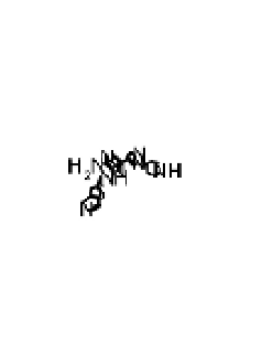 Nc1ncc(-c2cnn(C3CCNCC3)c2)nc1NCc1cc2cnccc2s1